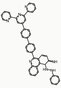 N=C1C=Cc2c(-c3ccc(-c4ccc(-c5cc(-c6ccccn6)nc(-c6ccccn6)c5)cc4)cc3)nc3ccccc3c2C1NNc1ccccc1